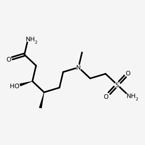 C[C@H](CCN(C)CCS(N)(=O)=O)[C@@H](O)CC(N)=O